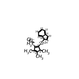 CC1=C(C)C(C)[C]([Zr+2][CH]2C=Cc3ccccc32)=C1C.[Cl-].[Cl-]